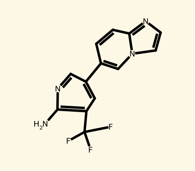 Nc1ncc(-c2ccc3nccn3c2)cc1C(F)(F)F